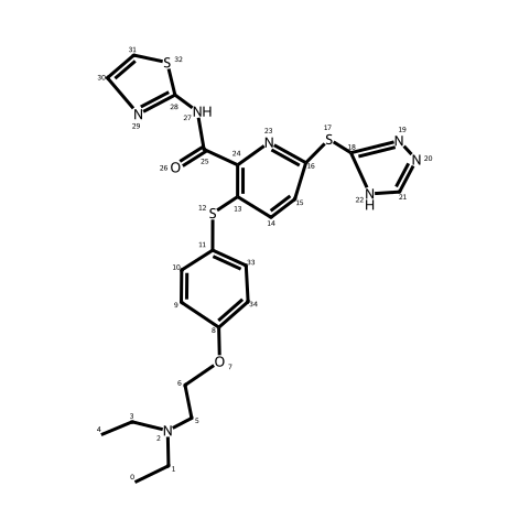 CCN(CC)CCOc1ccc(Sc2ccc(Sc3nnc[nH]3)nc2C(=O)Nc2nccs2)cc1